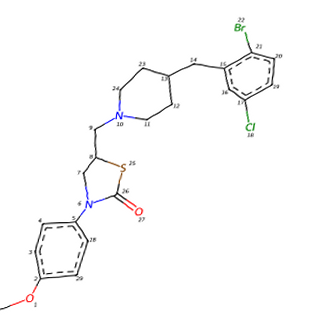 COc1ccc(N2CC(CN3CCC(Cc4cc(Cl)ccc4Br)CC3)SC2=O)cc1